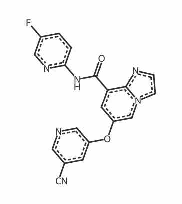 N#Cc1cncc(Oc2cc(C(=O)Nc3ccc(F)cn3)c3nccn3c2)c1